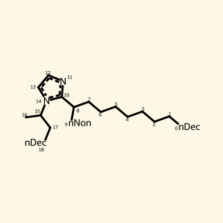 CCCCCCCCCCCCCCCCCC(CCCCCCCCC)c1nccn1C(C)CCCCCCCCCCC